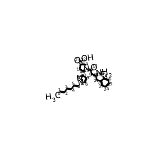 CC=CC=CC=Cn1ccc([C@@H]2CCCN2C(=O)C[C@H](N)Cc2ccccc2F)n1.O=CO